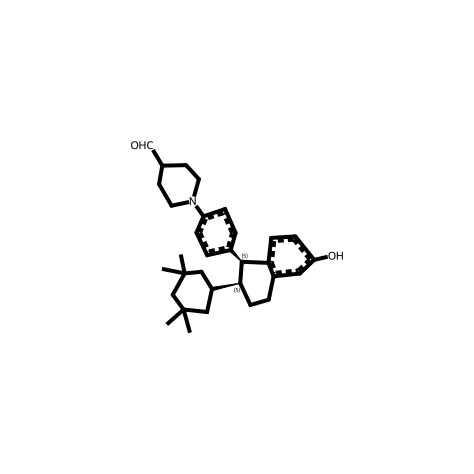 CC1(C)CC([C@@H]2CCc3cc(O)ccc3[C@@H]2c2ccc(N3CCC(C=O)CC3)cc2)CC(C)(C)C1